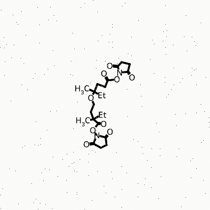 CCC(C)(CCC(=O)ON1C(=O)CCC1=O)OCCC(C)(CC)C(=O)ON1C(=O)CCC1=O